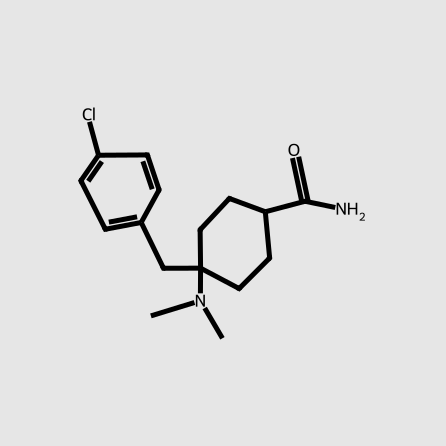 CN(C)C1(Cc2ccc(Cl)cc2)CCC(C(N)=O)CC1